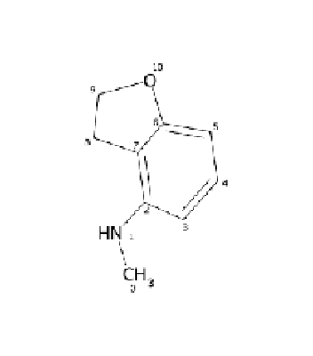 CNc1cccc2c1CCO2